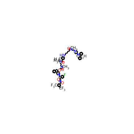 Cc1cc(NCCCCCC(=O)N(C)CCN2CCC(N(C(=O)O)c3ccccc3-c3ccccc3)CC2)ccc1C(=O)N(C)CCCN(C)C(=O)CO[C@H]1Cc2ccccc2C12CCN(CC[C@]1(c3ccc(F)cc3)CN(C(=O)c3cc(C(F)(F)F)cc(C(F)(F)F)c3)CO1)CC2